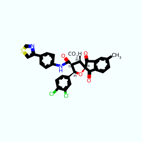 Cc1ccc2c(c1)C(=O)[C@]1(O[C@@H](c3ccc(Cl)c(Cl)c3)[C@@H](C(=O)Nc3ccc(-c4cscn4)cc3)[C@H]1C(=O)O)C2=O